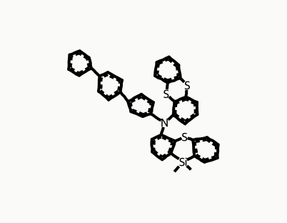 C[Si]1(C)c2ccccc2Sc2c(N(c3ccc(-c4ccc(-c5ccccc5)cc4)cc3)c3cccc4c3Sc3ccccc3S4)cccc21